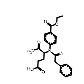 CCOC(=O)c1ccc(N(C(=O)Cc2ccccc2)C(CCC(=O)O)C(N)=O)cc1